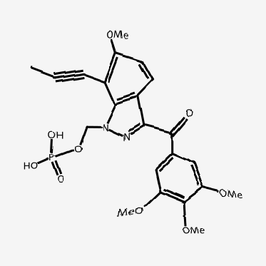 CC#Cc1c(OC)ccc2c(C(=O)c3cc(OC)c(OC)c(OC)c3)nn(COP(=O)(O)O)c12